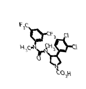 CN(C(=O)N(C)C1CN(C(=O)O)CC1c1ccc(Cl)c(Cl)c1)c1cc(C(F)(F)F)cc(C(F)(F)F)c1